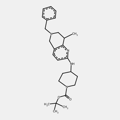 CC1CN(Cc2ccccc2)Cc2ccc(NC3CCN(C(=O)OC(C)(C)C)CC3)nc21